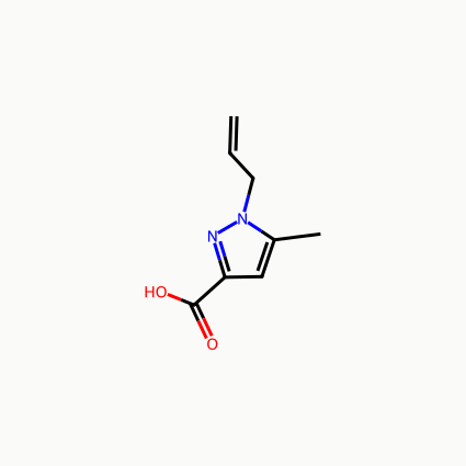 C=CCn1nc(C(=O)O)cc1C